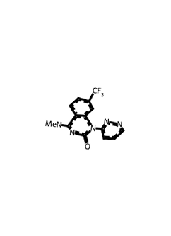 CNc1nc(=O)n(-c2cccnn2)c2cc(C(F)(F)F)ccc12